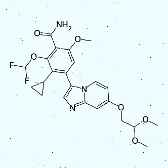 COc1cc(-c2cnc3cc(OCC(OC)OC)ccn23)c(C2CC2)c(OC(F)F)c1C(N)=O